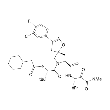 CCC[C@H](NC(=O)[C@@H]1C[C@]2(CC(c3ccc(F)c(Cl)c3)=NO2)CN1C(=O)[C@@H](NC(=O)CC1CCCCC1)C(C)(C)C)C(=O)C(=O)NC